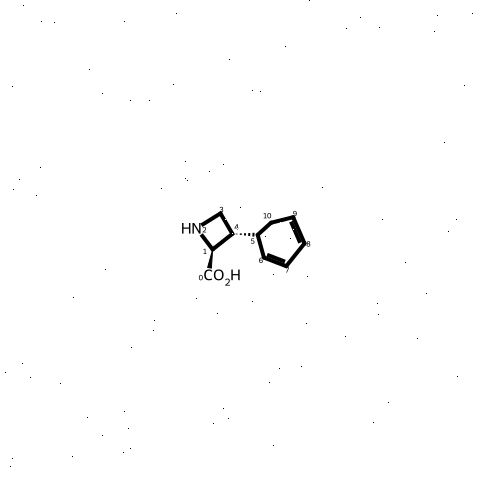 O=C(O)[C@H]1NC[C@@H]1C1C=CC=CC1